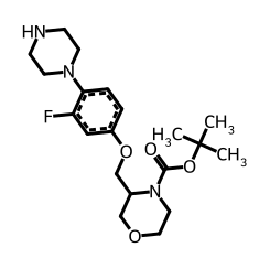 CC(C)(C)OC(=O)N1CCOCC1COc1ccc(N2CCNCC2)c(F)c1